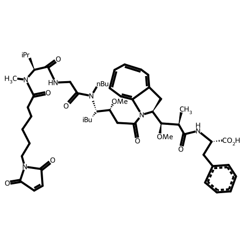 CCCCN(C(=O)CNC(=O)[C@H](C(C)C)N(C)C(=O)CCCCCN1C(=O)C=CC1=O)[C@@H]([C@@H](C)CC)[C@@H](CC(=O)N1C2=C/C=C\C=C/C=C\2C[C@H]1[C@H](OC)[C@@H](C)C(=O)N[C@@H](Cc1ccccc1)C(=O)O)OC